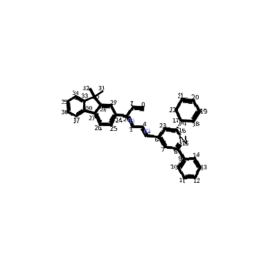 C=C/C(=C\C=C\c1cc(-c2ccccc2)nc([C@H]2C=CC=CC2)c1)c1ccc2c(c1)C(C)(C)c1ccccc1-2